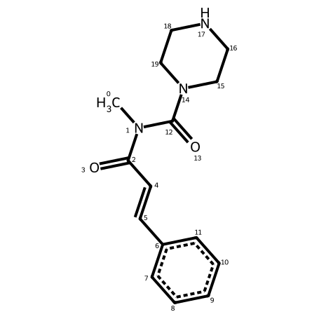 CN(C(=O)C=Cc1ccccc1)C(=O)N1CCNCC1